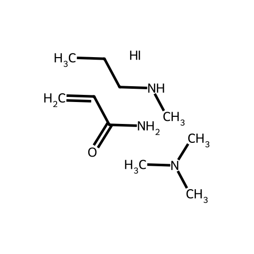 C=CC(N)=O.CCCNC.CN(C)C.I